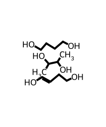 CC(O)C(C)O.O/C=C/CCO.OCCCCO